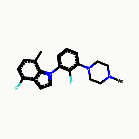 CC(=O)N1CCN(c2cccc(-n3ccc4c(F)ccc(C)c43)c2F)CC1